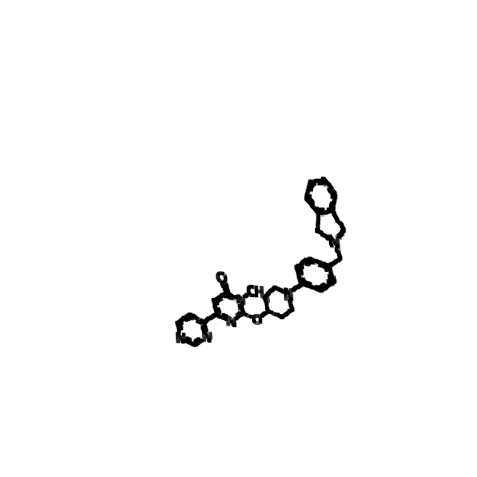 Cn1c(OC2CCN(c3ccc(CN4Cc5ccccc5C4)cc3)CC2)nc(-c2ccncn2)cc1=O